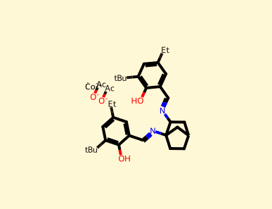 CC(=O)[O-].CC(=O)[O-].CCc1cc(C=NC2CC3CCC2(N=Cc2cc(CC)cc(C(C)(C)C)c2O)C3)c(O)c(C(C)(C)C)c1.[Co+2]